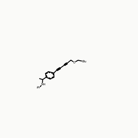 CC(C)NC(C)c1ccc(C#CC#CCOCC(C)(C)C)cc1